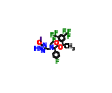 CC(OC1OCCN(Cc2n[nH]c(OI)n2)C1c1ccc(F)cc1)c1cc(C(F)(F)F)cc(C(F)(F)F)c1